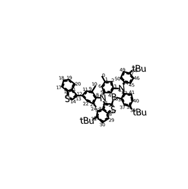 Cc1cc2c3c(c1)N(c1c(C)cc(-c4csc5ccccc45)cc1C)c1c(sc4ccc(C(C)(C)C)cc14)B3c1cc(C(C)(C)C)ccc1N2c1ccc(C(C)(C)C)cc1